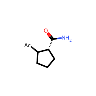 CC(=O)C1CCC[C@H]1C(N)=O